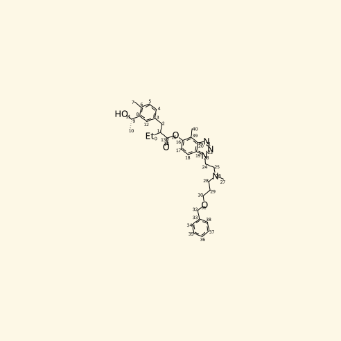 CCC(Cc1ccc(C)c([C@H](C)O)c1)C(=O)Oc1ccc2c(nnn2CCN(C)CCCOCc2ccccc2)c1C